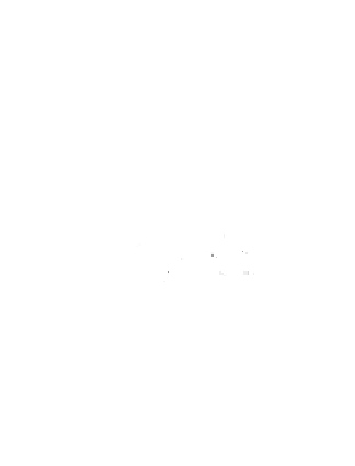 CCC(CC)CO[P@]1(=O)OC[C@H]2O[C@@H](n3ccc(=O)[nH]c3=O)[C@](C)(N)[C@@H]2O1